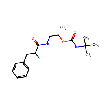 C[C@@H](CNC(=O)C(Cl)Cc1ccccc1)OC(=O)NC(C)(C)C